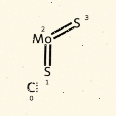 [C].[S]=[Mo]=[S]